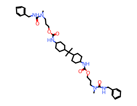 CN(CCCOC(=O)NC1CCC(C(C)(C)C2CCC(NC(=O)OCCCN(C)C(=O)NCc3ccccc3)CC2)CC1)C(=O)NCc1ccccc1